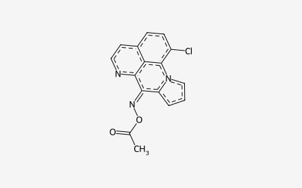 CC(=O)O/N=c1/c2nccc3ccc(Cl)c(c32)n2cccc12